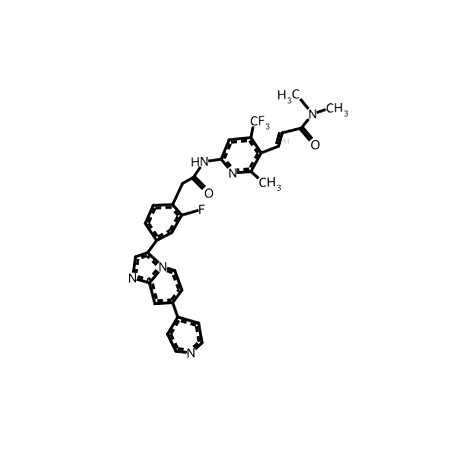 Cc1nc(NC(=O)Cc2ccc(-c3cnc4cc(-c5ccncc5)ccn34)cc2F)cc(C(F)(F)F)c1/C=C/C(=O)N(C)C